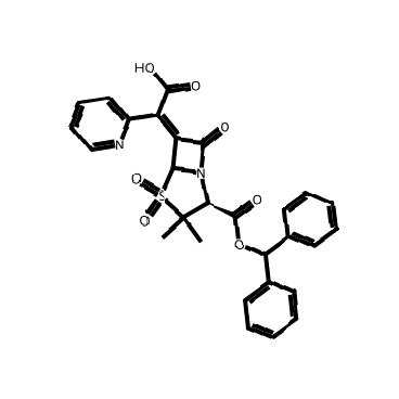 CC1(C)[C@H](C(=O)OC(c2ccccc2)c2ccccc2)N2C(=O)/C(=C(\C(=O)O)c3ccccn3)C2S1(=O)=O